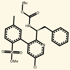 COS(=O)(=O)c1ccc(C)cc1-c1cc(Cl)cnc1[C@H](Cc1ccccc1)NC(=O)OC(C)(C)C